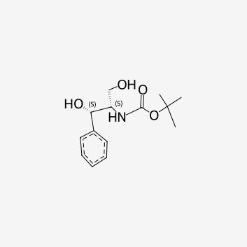 CC(C)(C)OC(=O)N[C@@H](CO)[C@@H](O)c1ccccc1